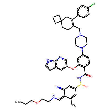 COCCOCCN/C=C1\C(=N)C=C([S+]([O-])NC(=O)c2ccc(N3CCN(CC4=C(c5ccc(Cl)cc5)CC5(CCC5)CC4)CC3)cc2Oc2cnc3[nH]ccc3c2)C=C1[N+](=O)[O-]